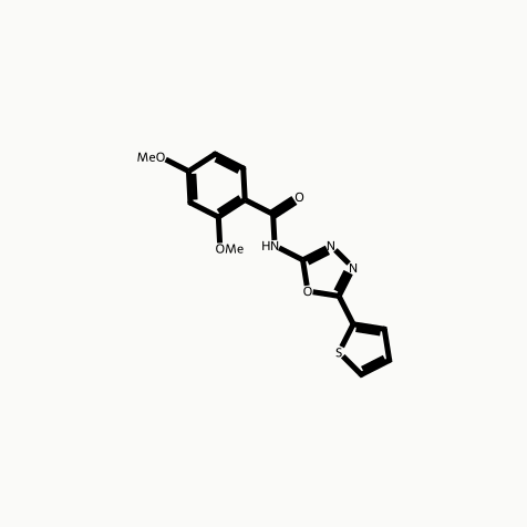 COc1ccc(C(=O)Nc2nnc(-c3cccs3)o2)c(OC)c1